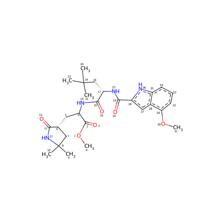 COC(=O)C(C[C@@H]1CC(C)(C)NC1=O)NC(=O)[C@H](CC(C)(C)C)NC(=O)c1cc2c(OC)cccc2[nH]1